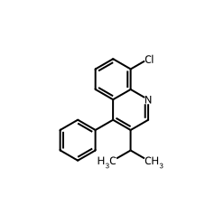 CC(C)c1cnc2c(Cl)cccc2c1-c1ccccc1